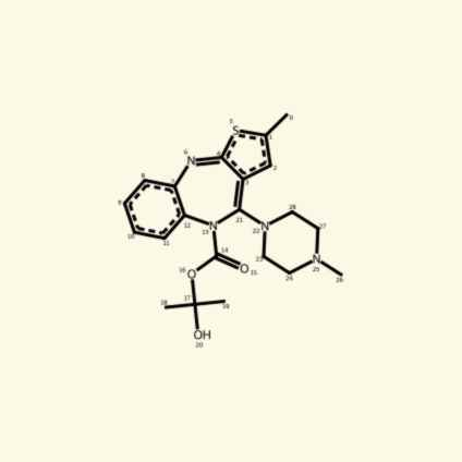 Cc1cc2c(s1)=Nc1ccccc1N(C(=O)OC(C)(C)O)C=2N1CCN(C)CC1